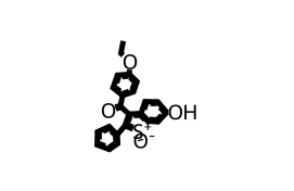 CCOc1ccc(C(=O)c2c(-c3ccccc3)[s+]([O-])c3cc(O)ccc23)cc1